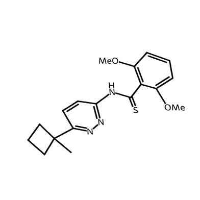 COc1cccc(OC)c1C(=S)Nc1ccc(C2(C)CCC2)nn1